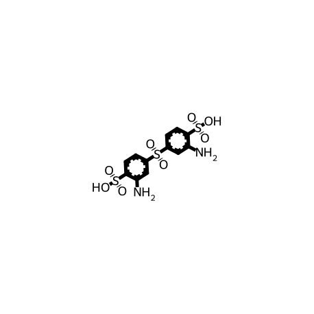 Nc1cc(S(=O)(=O)c2ccc(S(=O)(=O)O)c(N)c2)ccc1S(=O)(=O)O